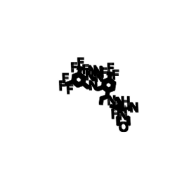 CCC(c1ccc(C(F)(F)F)cc1CN(Cc1cc(C(F)(F)F)cc(C(F)(F)F)c1)c1nnn(C)n1)N1C[C@@H]2[C@H](C1)[C@@]2(C#N)N1CCOCC1